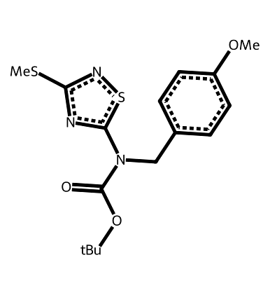 COc1ccc(CN(C(=O)OC(C)(C)C)c2nc(SC)ns2)cc1